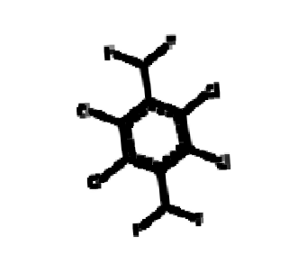 FC(F)c1c(Cl)c(Cl)c(C(F)F)c(Cl)c1Cl